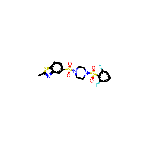 Cc1nc2cc(S(=O)(=O)N3CCN(S(=O)(=O)c4c(F)cccc4F)CC3)ccc2s1